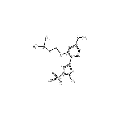 COc1ccc(-c2nc(C)c(S(=O)(=O)Cl)s2)c(OCCN(C)C)c1